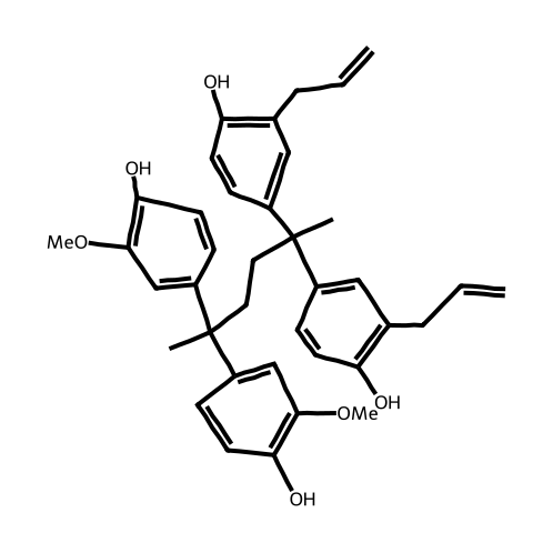 C=CCc1cc(C(C)(CCC(C)(c2ccc(O)c(OC)c2)c2ccc(O)c(OC)c2)c2ccc(O)c(CC=C)c2)ccc1O